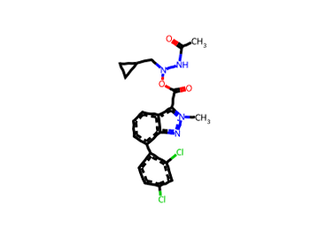 CC(=O)NN(CC1CC1)OC(=O)c1c2cccc(-c3ccc(Cl)cc3Cl)c2nn1C